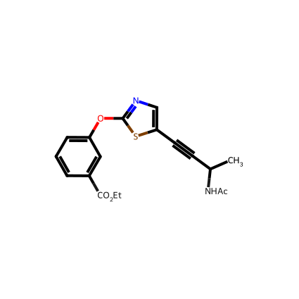 CCOC(=O)c1cccc(Oc2ncc(C#CC(C)NC(C)=O)s2)c1